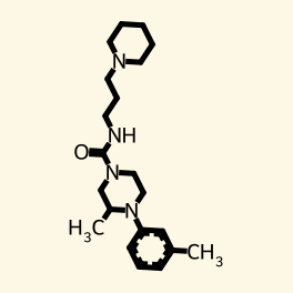 Cc1cccc(N2CCN(C(=O)NCCCN3CCCCC3)CC2C)c1